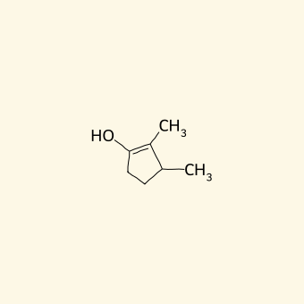 CC1=C(O)CCC1C